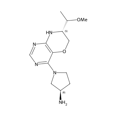 COC(C)[C@@H]1COc2c(ncnc2N2CC[C@@H](N)C2)N1